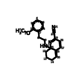 COc1ccccc1CCNC12CCCC=C1C=CC(C#N)=N2